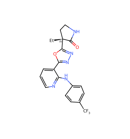 CC[C@@]1(c2nnc(-c3cccnc3Nc3ccc(C(F)(F)F)cc3)o2)CCNC1=O